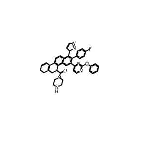 O=C(C1CC2=C(C=CCC2)c2ccc3c(C4C=CN=N4)c(-c4ccc(F)cc4)c(-c4ccnc(Oc5ccccc5)n4)cc3c21)N1CCNCC1